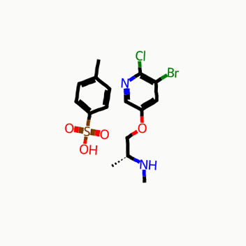 CN[C@H](C)COc1cnc(Cl)c(Br)c1.Cc1ccc(S(=O)(=O)O)cc1